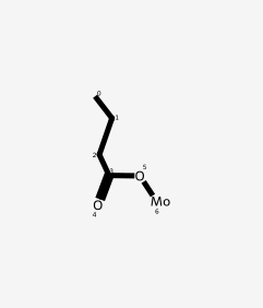 CCCC(=O)[O][Mo]